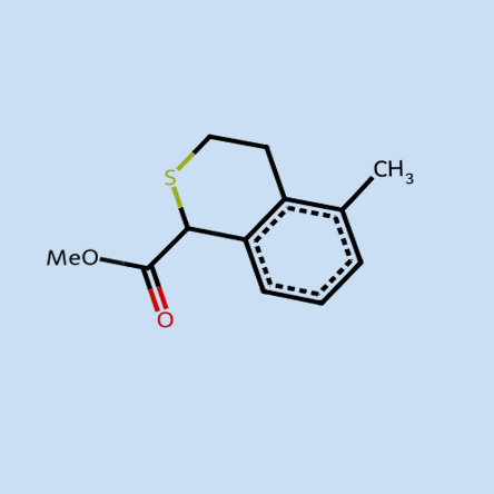 COC(=O)C1SCCc2c(C)cccc21